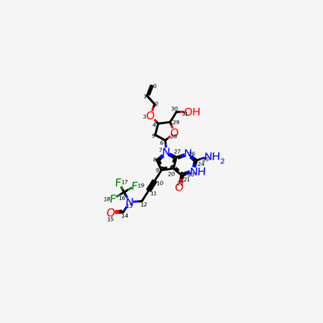 C=CCOC1CC(n2cc(C#CCN(C=O)C(F)(F)F)c3c(=O)[nH]c(N)nc32)OC1CO